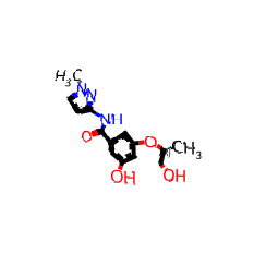 C[C@H](CO)Oc1cc(O)cc(C(=O)Nc2ccn(C)n2)c1